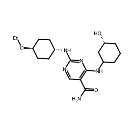 CCO[C@H]1CC[C@H](Nc2ncc(C(N)=O)c(NC3CCC[C@@H](O)C3)n2)CC1